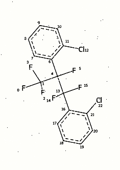 FC(F)(F)C(F)(c1ccccc1Cl)C(F)(F)c1ccccc1Cl